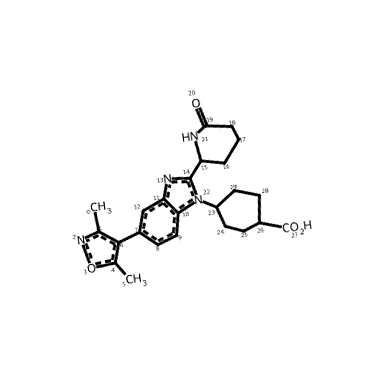 Cc1noc(C)c1-c1ccc2c(c1)nc(C1CCCC(=O)N1)n2C1CCC(C(=O)O)CC1